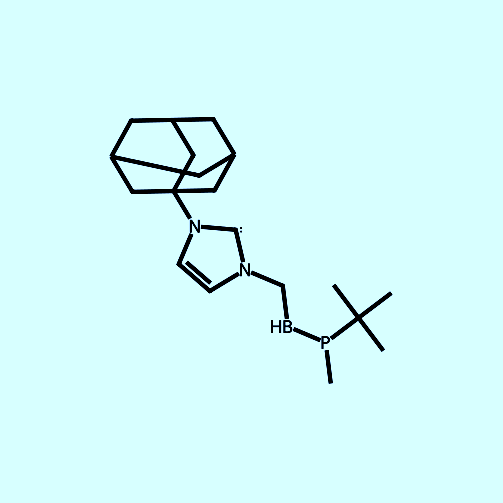 CP(BCN1[C]N(C23CC4CC(CC(C4)C2)C3)C=C1)C(C)(C)C